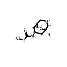 CC(C)(C)OC(=O)N[C@H]1CC2COC[C@H](CN2)C1